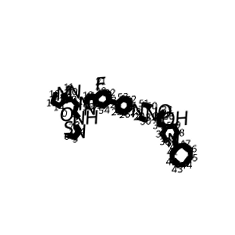 O=C(Nc1nccs1)C(c1ncn2c1CCC2)n1cc2c(F)cc(-c3ccc(N4CCN(C(=O)CC5(O)CCN(C6=C/C=C\C=C/C=C\6)CC5)CC4)cc3)cc2n1